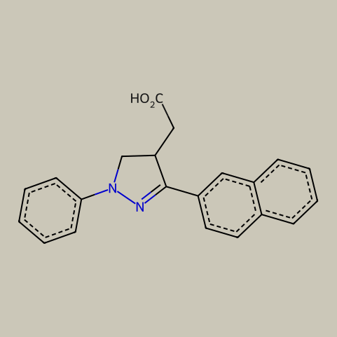 O=C(O)CC1CN(c2ccccc2)N=C1c1ccc2ccccc2c1